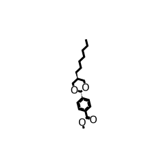 CCCCCCC[C@H]1CO[C@H](c2ccc(C(=O)OC)cc2)OC1